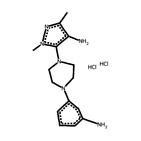 Cc1nn(C)c(N2CCN(c3cccc(N)c3)CC2)c1N.Cl.Cl